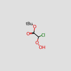 CC(C)(C)OC(=O)C(Cl)OO